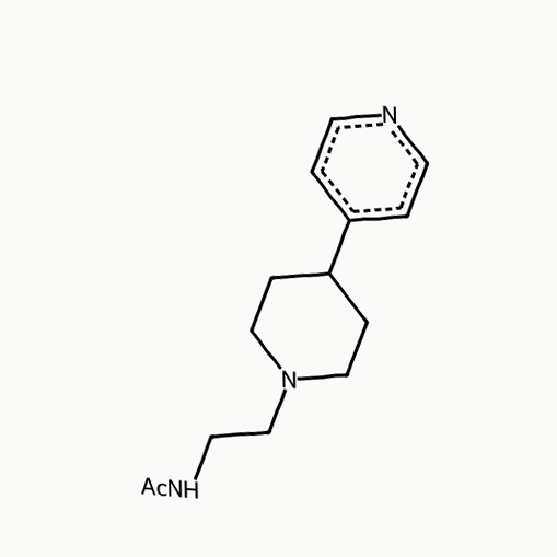 CC(=O)NCCN1CCC(c2ccncc2)CC1